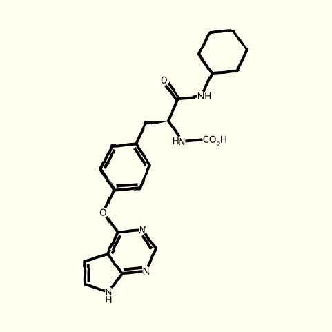 O=C(O)N[C@@H](Cc1ccc(Oc2ncnc3[nH]ccc23)cc1)C(=O)NC1CCCCC1